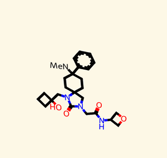 CNC1(c2ccccc2)CCC2(CC1)CN(CC(=O)NC1COC1)C(=O)N2CC1(O)CCC1